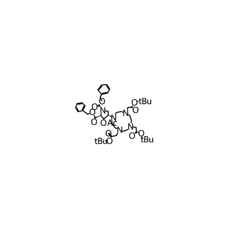 CC(=O)O[C@H]1[C@H](N2CCN(CC(=O)OC(C)(C)C)CCN(CC(=O)OC(C)(C)C)CCN(CC(=O)OC(C)(C)C)CC2)CN(C(=O)OCc2ccccc2)[C@@H]1C(=O)OCc1ccccc1